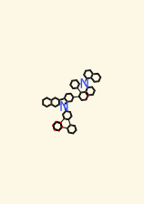 c1ccc(-c2ccccc2-c2ccc(-n3c4cc(-c5ccccc5-c5ccccc5N(c5ccccc5)c5cccc6ccccc56)ccc4c4cc5ccccc5cc43)cc2-c2ccccc2)cc1